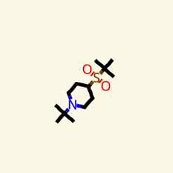 CC(C)(C)N1CCC(S(=O)(=O)C(C)(C)C)CC1